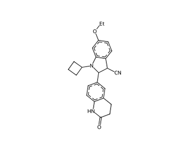 CCOc1ccc2c(c1)N(C1CCC1)C(c1ccc3c(c1)CCC(=O)N3)C2C#N